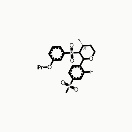 CC(C)Oc1cccc(S(=O)(=O)C2C(c3ccc(S(C)(=O)=O)cc3F)OCC[C@H]2C)c1